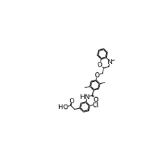 Cc1cc(C(=O)Nc2cc(CC(=O)O)ccc2Cl)c(C)cc1OC[C@@H]1CN(C)c2ccccc2O1